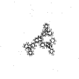 c1ccc(-c2nc(-c3ccccc3)nc(-c3cccc(-c4cc(-c5ccc6c(c5)c5ccccc5n6-c5ccccc5)nc5ccc(-c6ccc7c(c6)c6ccccc6n7-c6ccccc6)cc45)c3)n2)cc1